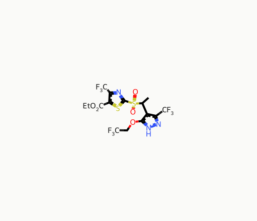 CCOC(=O)c1sc(S(=O)(=O)C(C)c2c(C(F)(F)F)n[nH]c2OCC(F)(F)F)nc1C(F)(F)F